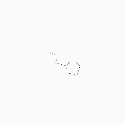 CCCCNC1[N]CCN1